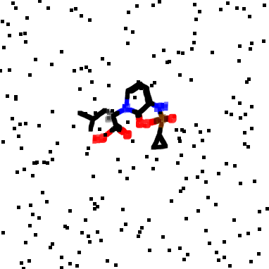 CC(C)C[C@@H](C(=O)O)n1cccc(NS(=O)(=O)C2CC2)c1=O